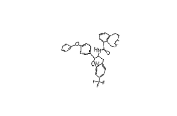 O=C(NC(Cc1ccc(C(F)(F)F)cc1)C(O)c1ccc(Oc2ccccc2)cc1)c1cccc2c1CCCCC2